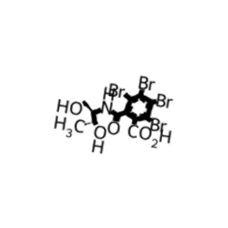 C[C@@H](O)[C@@H](CO)NC(=O)c1c(Br)c(Br)c(Br)c(Br)c1C(=O)O